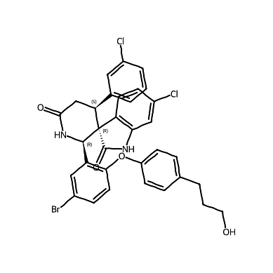 O=C1C[C@@H](c2cccc(Cl)c2)[C@]2(C(=O)Nc3cc(Cl)ccc32)[C@@H](c2cc(Br)ccc2Oc2ccc(CCCO)cc2)N1